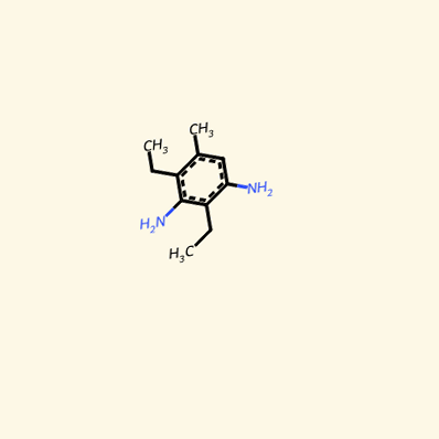 CCc1c(C)cc(N)c(CC)c1N